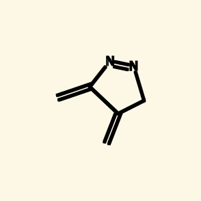 C=C1CN=NC1=C